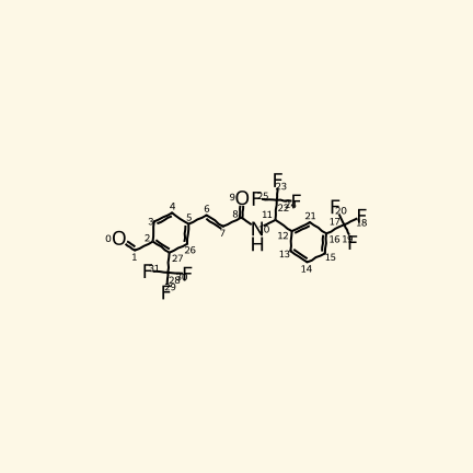 O=Cc1ccc(/C=C/C(=O)NC(c2cccc(C(F)(F)F)c2)C(F)(F)F)cc1C(F)(F)F